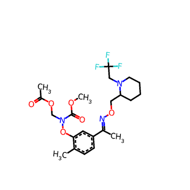 COC(=O)N(COC(C)=O)Oc1cc(C(C)=NOCC2CCCCN2CC(F)(F)F)ccc1C